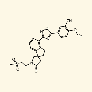 CC(C)Oc1ccc(-c2nc(-c3cccc4c3CCC43CC(=O)N(CCS(C)(=O)=O)C3)no2)cc1C#N